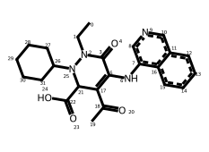 CCN1C(=O)C(Nc2cncc3ccccc23)=C(C(C)=O)C(C(=O)O)N1C1CCCCC1